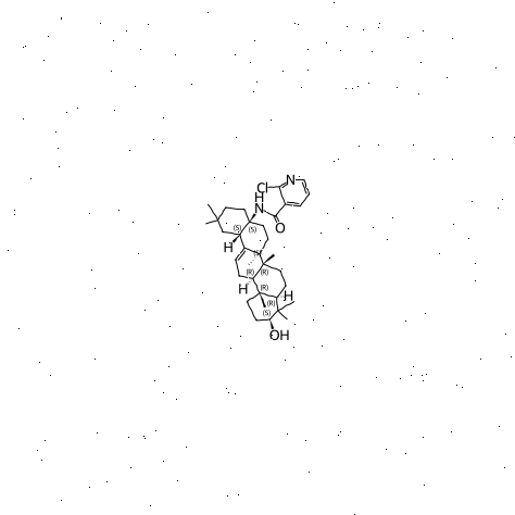 CC1(C)CC[C@]2(NC(=O)c3cccnc3Cl)CC[C@]3(C)C(=CC[C@@H]4[C@@]5(C)CC[C@H](O)C(C)(C)[C@@H]5CC[C@]43C)[C@@H]2C1